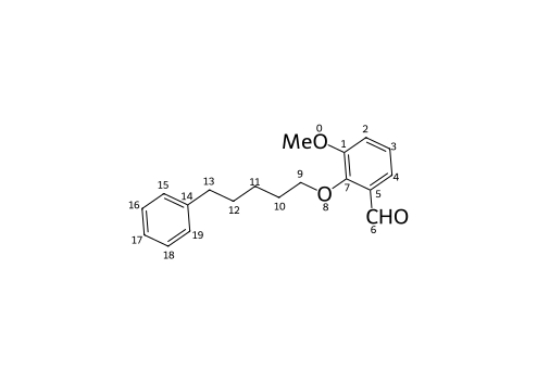 COc1cccc(C=O)c1OCCCCCc1ccccc1